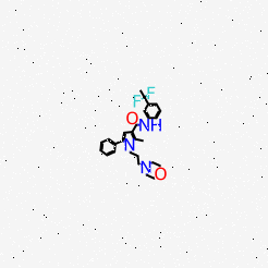 Cc1c(C(=O)Nc2cccc(C(C)(F)F)c2)cc(-c2ccccc2)n1CCCN1CCOCC1